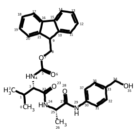 CC(C)[C@H](NC(=O)OCC1c2ccccc2-c2ccccc21)C(=O)N[C@@H](C)C(=O)Nc1ccc(CO)cc1